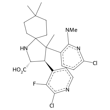 CNc1nc(Cl)ccc1C1(C)[C@@H](c2ccnc(Cl)c2F)[C@H](C(=O)O)NC12CCC(C)(C)CC2